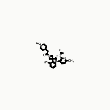 CC(=O)N1CCC(CC(=O)N2CC(C(=O)Nc3ccc(C)nc3OC(F)F)(c3ccccc3C(C)C)C2)CC1